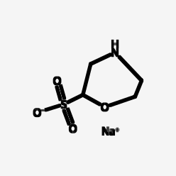 O=S(=O)([O-])C1CNCCO1.[Na+]